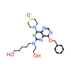 [O-][S+]1CCN(c2nc(N(CCO)CCCCCO)nc3c(OCc4ccccc4)ncnc23)CC1